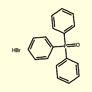 Br.O=P(c1ccccc1)(c1ccccc1)c1ccccc1